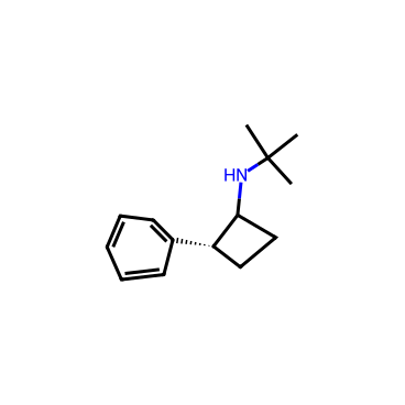 CC(C)(C)NC1CC[C@@H]1c1ccccc1